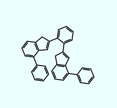 C1=C(c2ccccc2C2=Cc3c(cccc3-c3ccccc3)C2)Cc2cccc(-c3ccccc3)c21